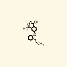 CCCc1ccccc1Oc1ccc(C(=O)O)c(C(=O)O)c1